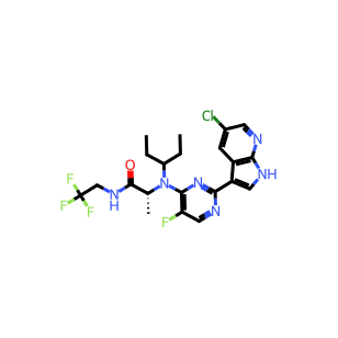 CCC(CC)N(c1nc(-c2c[nH]c3ncc(Cl)cc23)ncc1F)[C@H](C)C(=O)NCC(F)(F)F